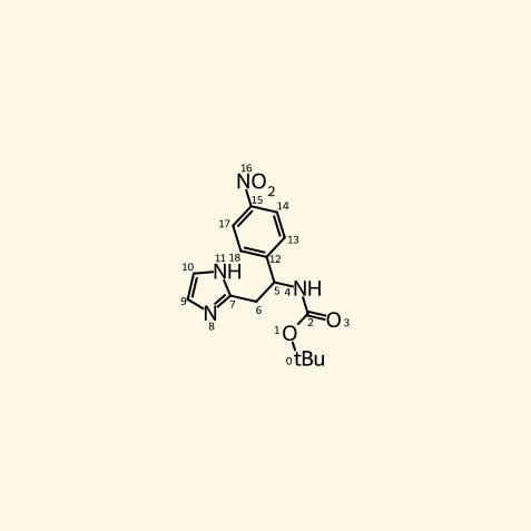 CC(C)(C)OC(=O)NC(Cc1ncc[nH]1)c1ccc([N+](=O)[O-])cc1